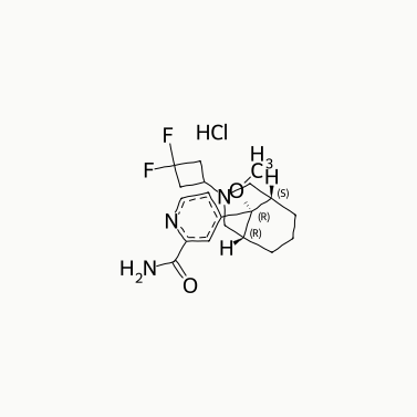 CO[C@@]1(c2ccnc(C(N)=O)c2)[C@@H]2CCC[C@H]1CN(C1CC(F)(F)C1)C2.Cl